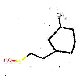 CC1CCCC(CCSO)C1